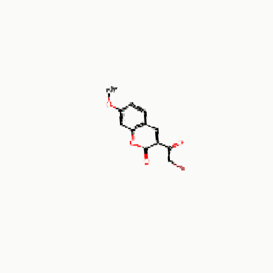 CCCOc1ccc2cc(C(=O)CBr)c(=O)oc2c1